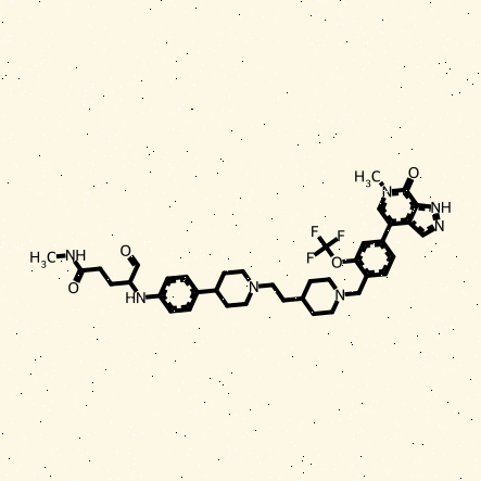 CNC(=O)CCC(C=O)Nc1ccc(C2CCN(CCC3CCN(Cc4ccc(-c5cn(C)c(=O)c6[nH]ncc56)cc4OC(F)(F)F)CC3)CC2)cc1